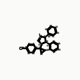 Clc1ccc(C2(N3C=N[C@@H](c4ccccc4)[C@H]3c3ccccc3)CC2)cc1